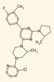 Cc1cc(-c2cc(N3CCN(c4ncccc4Cl)CC3C)nc(N3CCCC3C)n2)ccc1F